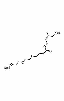 CCCCOCCOCCOCCCC(=O)OCCC(C)CC(C)(C)C